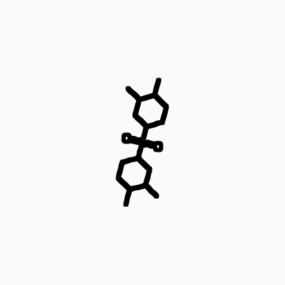 CC1CCC(S(=O)(=O)C2CCC(C)C(C)C2)CC1C